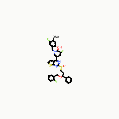 COc1ccc(CN2C=C(c3nc([S+]([O-])CCC(OCc4ccccc4F)c4ccccc4)nc4sccc34)C=C(F)C2O)cc1F